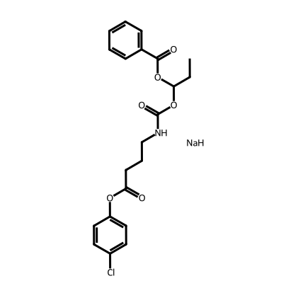 CCC(OC(=O)NCCCC(=O)Oc1ccc(Cl)cc1)OC(=O)c1ccccc1.[NaH]